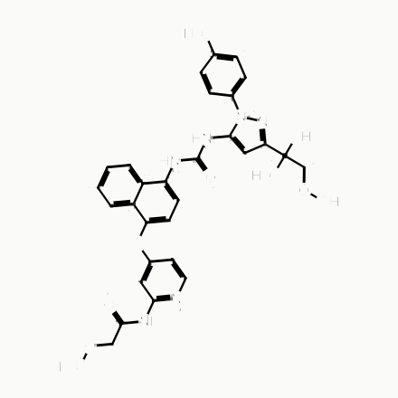 COCC(=O)Nc1cc(Oc2ccc(NC(=O)Nc3cc(C(C)(C)COO)nn3-c3ccc(C)cc3)c3ccccc23)ccn1